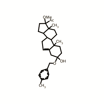 COC1(C(C)=O)CCC2C3CC=C4CC(O)(OCc5ccc(C)cc5)CCC4(C)C3CCC21C